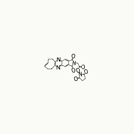 O=C(CN1C(=O)c2cc3nc4c(nc3cc2C1=O)CC/C=C/CC4)ON1C(=O)CCC1=O